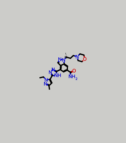 CCn1nc(C)cc1-c1nnc(-c2cc(C(N)=O)cc3c2cnn3[C@H](C)CCN2CCOCC2)[nH]1